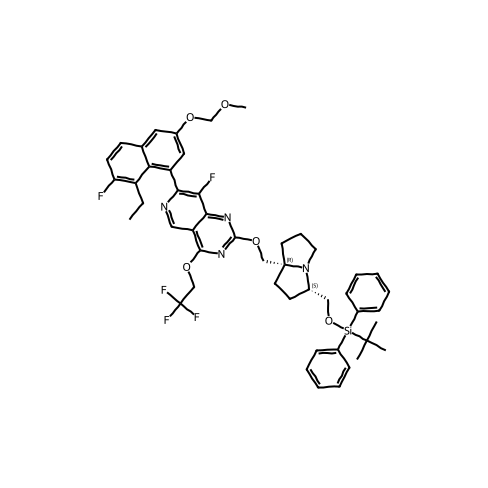 CCc1c(F)ccc2cc(OCOC)cc(-c3ncc4c(OCC(F)(F)F)nc(OC[C@]56CCCN5[C@H](CO[Si](c5ccccc5)(c5ccccc5)C(C)(C)C)CC6)nc4c3F)c12